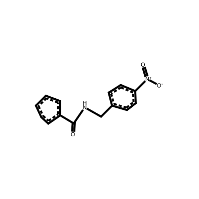 O=C(NCc1ccc([N+](=O)[O-])cc1)c1ccccc1